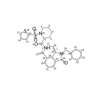 C=C(NC(=O)C1CCCCN1S(=O)(=O)c1cccs1)c1cccc2c1/C(=C\C)N(Cc1ccccc1)C2=O